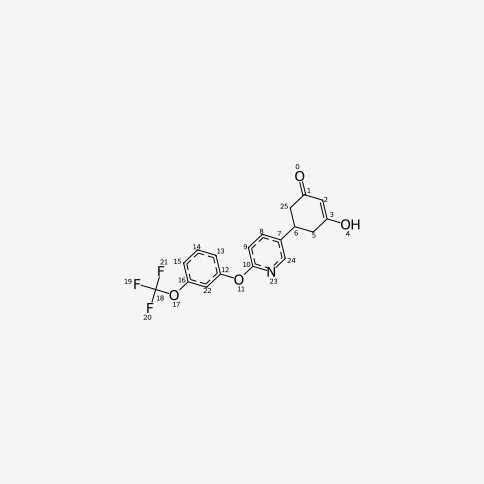 O=C1C=C(O)CC(c2ccc(Oc3cccc(OC(F)(F)F)c3)nc2)C1